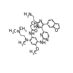 C=CC(=O)Nc1cc(Nc2nccc(-c3[nH]c(CCN)nc3-c3ccc4ccoc4c3)n2)c(OC)cc1N(C)CCN(C)C